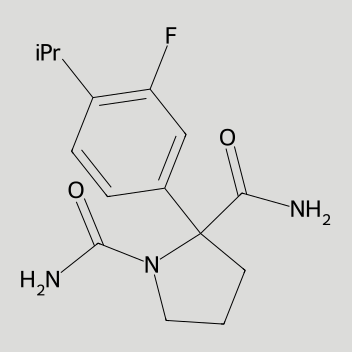 CC(C)c1ccc(C2(C(N)=O)CCCN2C(N)=O)cc1F